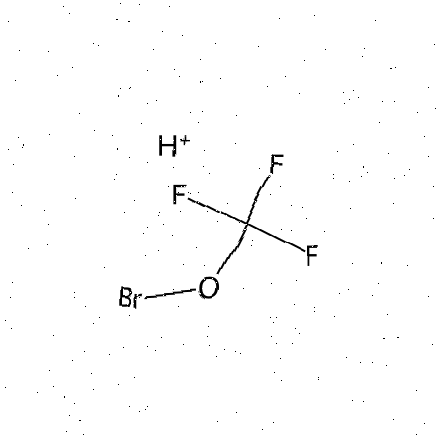 FC(F)(F)OBr.[H+]